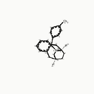 Cc1ccc(CN2C[C@H]3CC[C@@H]2Cc2ccccc2C3)cc1